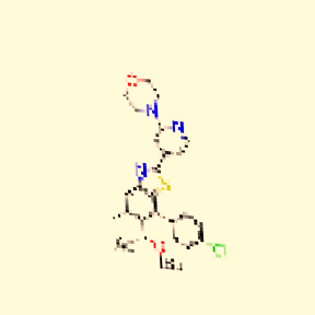 CC(=O)[C@@H](OC(C)(C)C)c1c(C)cc2nc(-c3ccnc(N4CCOCC4)c3)sc2c1-c1ccc(Cl)cc1